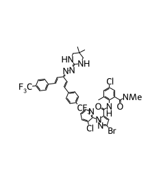 CC1(C)CNC(=NN=C(/C=C/c2ccc(C(F)(F)F)cc2)/C=C/c2ccc(C(F)(F)F)cc2)NC1.CNC(=O)c1cc(Cl)cc(C)c1NC(=O)c1cc(Br)nn1-c1ncccc1Cl